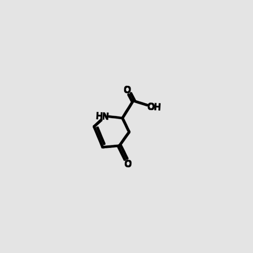 O=C1C=CNC(C(=O)O)C1